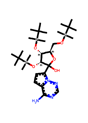 CC(C)(C)[Si](C)(C)OC[C@H]1OC(O)(c2ccc3c(N)ncnn23)[C@H](O[Si](C)(C)C(C)(C)C)[C@@H]1O[Si](C)(C)C(C)(C)C